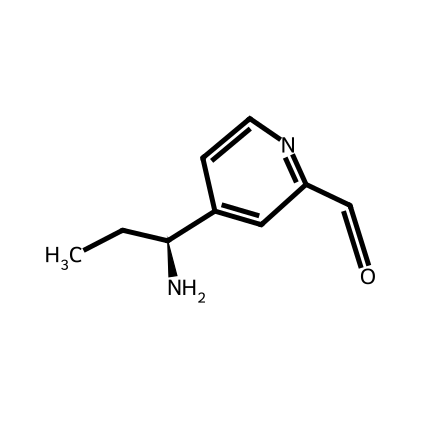 CC[C@H](N)c1ccnc(C=O)c1